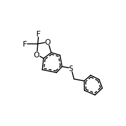 FC1(F)Oc2ccc(SCc3ccccc3)cc2O1